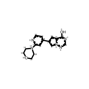 Oc1ncnn2cc(-c3ccnc(N4CCOCC4)c3)cc12